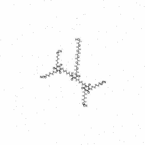 N#COCCCCCCn1c(=O)n(CCCCCCNC(=O)N(CCCCCCn2c(=O)n(CCCCCCOC#N)c(=O)n(CCCCCCOC#N)c2=O)C(=O)OCCOCCOCCOCCOCCOCCO)c(=O)n(CCCCCCOC#N)c1=O